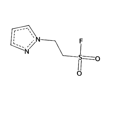 O=S(=O)(F)CCn1cccn1